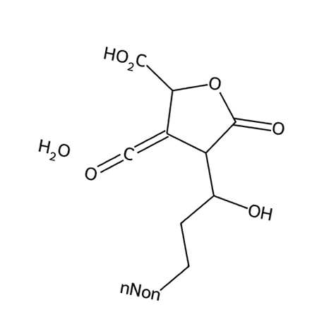 CCCCCCCCCCCC(O)C1C(=O)OC(C(=O)O)C1=C=O.O